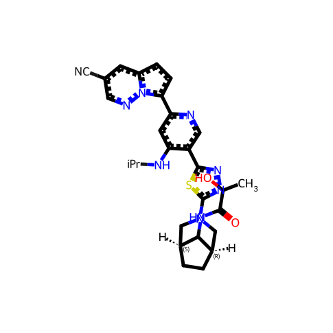 CC(C)Nc1cc(-c2ccc3cc(C#N)cnn23)ncc1-c1nnc(N2C[C@H]3CC[C@@H](C2)C3NC(=O)C(C)O)s1